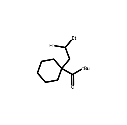 CCC(CC)CC1(C(=O)C(C)(C)C)CCCCC1